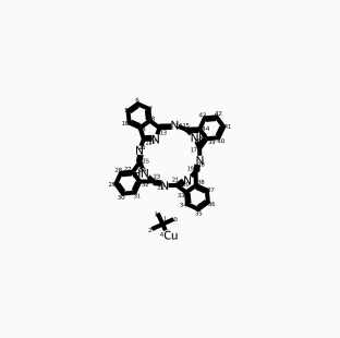 C[C](C)(C)[Cu].c1ccc2c(c1)-c1nc-2nc2[nH]c(nc3nc(nc4[nH]c(n1)c1ccccc41)-c1ccccc1-3)c1ccccc21